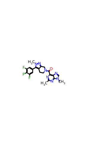 Cc1nc(C(=O)N2CCc3c(nn(C)c3-c3cc(F)c(F)c(F)c3)C2)c2ncn(C)c2n1